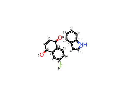 O=C1C=CC(=O)c2cc(F)ccc21.c1ccc2[nH]ccc2c1